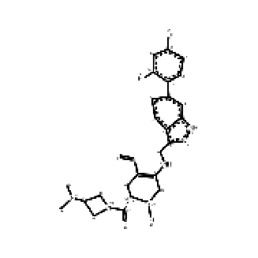 C=NC1=C(NCc2n[nH]c3cc(-c4ccc(O)cc4CC)ccc23)CN(CC)[C@H](C(=O)N2CC(N(C)C)C2)C1